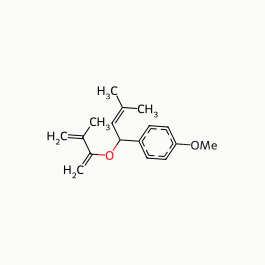 C=C(C)C(=C)OC(C=C(C)C)c1ccc(OC)cc1